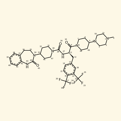 CN1CCN(C2CCN(C(=O)[C@@H](Cc3ccc(C(F)(F)F)c(C(F)(F)F)c3)NC(=O)N3CCC(N4CCc5ccccc5NC4=O)CC3)CC2)CC1